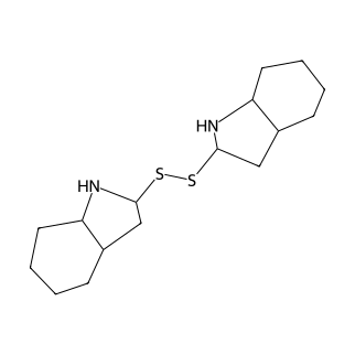 C1CCC2NC(SSC3CC4CCCCC4N3)CC2C1